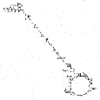 CO[C@H]1C[C@@H]2CC[C@@H](C)[C@@](O)(O2)C(=O)C(=O)N2CCCC[C@H]2C(=O)O[C@H]([C@H](N)C[C@@H]2CC[C@H](n3cc(CCCC(=O)NCCOCCOCCOCCC(=O)NCCOCCOCCOCCOCCC(=O)NCCCCn4nc(-c5ccc6oc(N)nc6c5)c5c(N)ncnc54)nn3)[C@H](OC)C2)CC(=O)[C@H](C)/C=C(\C)[C@@H](O)[C@@H](OC)C(=O)[C@H](C)C[C@H](C)/C=C/C=C/C=C/1C